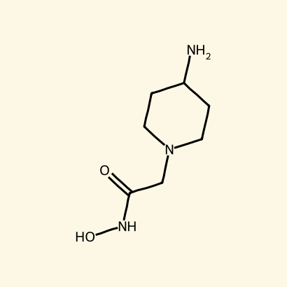 NC1CCN(CC(=O)NO)CC1